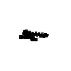 CC(C)(C)OC(=O)[C@@H](CCCCCCCCBr)CC1(OC=O)CCCC1